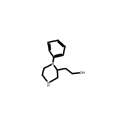 OCCC1CNCCN1c1ccccc1